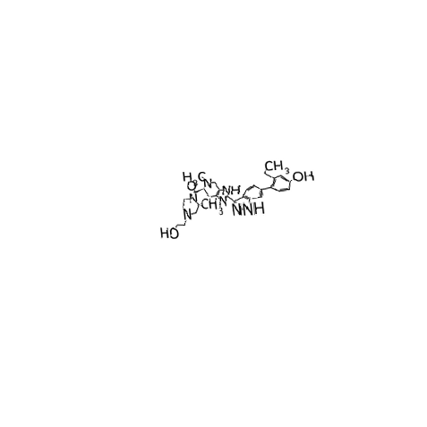 CCc1cc(O)ccc1-c1ccc2c(-c3nc4c([nH]3)CN(C)[C@H](C(=O)N3CCN(CCO)C[C@H]3C)C4)n[nH]c2c1